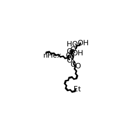 CC/C=C\C/C=C\C/C=C\C/C=C\C/C=C\CCCC(=O)OC[C@H](COP(=O)(O)OC[C@@H](O)CO)OC(=O)CCCCCCC/C=C\CCCCCC